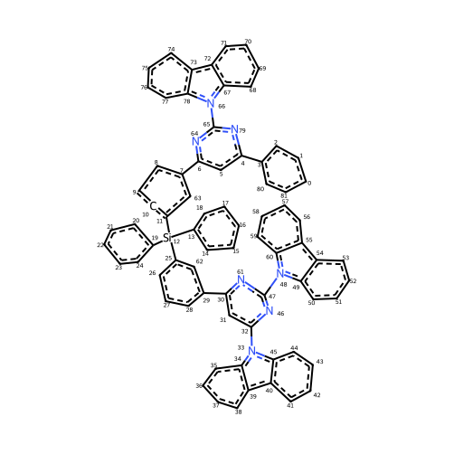 c1ccc(-c2cc(-c3cccc([Si](c4ccccc4)(c4ccccc4)c4cccc(-c5cc(-n6c7ccccc7c7ccccc76)nc(-n6c7ccccc7c7ccccc76)n5)c4)c3)nc(-n3c4ccccc4c4ccccc43)n2)cc1